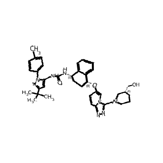 Cc1ccc(-n2nc(C(C)(C)C)cc2NC(=O)N[C@H]2CC[C@@H](Oc3ccc4nnc(N5CCC[C@@H](CO)C5)n4c3)c3ccccc32)cc1